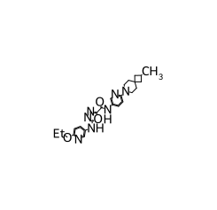 CCOc1ccc(Nc2nnc(C(=O)Nc3ccc(N4CCC5(CC4)CC(C)C5)nc3)o2)cn1